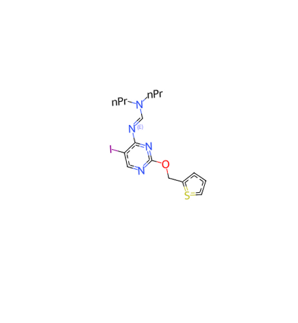 CCCN(/C=N/c1nc(OCc2cccs2)ncc1I)CCC